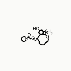 Cc1cc(O)cc2c1C(=O)OC/C=C/CC/C=C/C(=N/OCC(=O)N1CCCCC1)C2